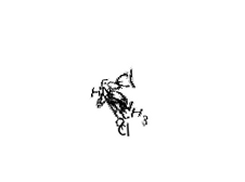 Cc1nnc(C2C3CC3CN2C(=O)Nc2ccc(Cl)cc2F)n1Cc1ccc(Cl)cc1